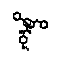 N[C@H]1CC[C@H](NC(=S)C23CC4CC(c5ccccc5)(CC(C2)C4Sc2ccccc2)C3)CC1